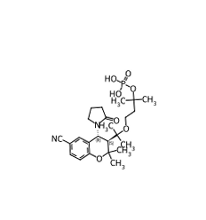 CC(C)(CCOC(C)(C)[C@@H]1[C@@H](N2CCCC2=O)c2cc(C#N)ccc2OC1(C)C)OP(=O)(O)O